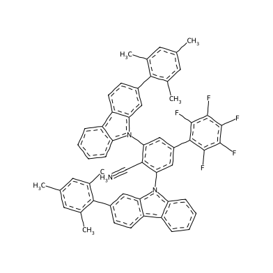 Cc1cc(C)c(-c2ccc3c4ccccc4n(-c4cc(-c5c(F)c(F)c(F)c(F)c5F)cc(-n5c6ccccc6c6ccc(-c7c(C)cc(C)cc7C)cc65)c4C#N)c3c2)c(C)c1